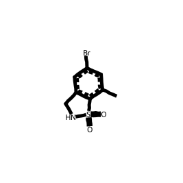 Cc1cc(Br)cc2c1S(=O)(=O)NC2